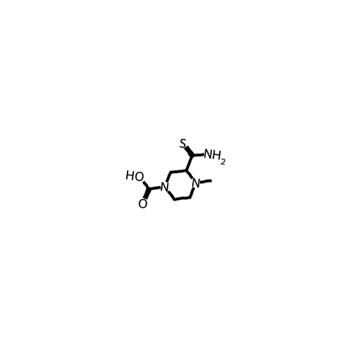 CN1CCN(C(=O)O)CC1C(N)=S